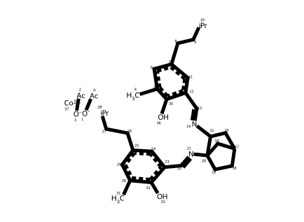 CC(=O)[O-].CC(=O)[O-].Cc1cc(CCC(C)C)cc(C=NC2CC3CCC2(N=Cc2cc(CCC(C)C)cc(C)c2O)C3)c1O.[Co+2]